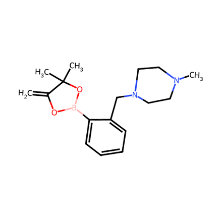 C=C1OB(c2ccccc2CN2CCN(C)CC2)OC1(C)C